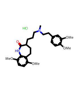 COc1ccc(CCN(C)CCCC2CCc3c(OC)ccc(OC)c3NC2=O)cc1OC.Cl